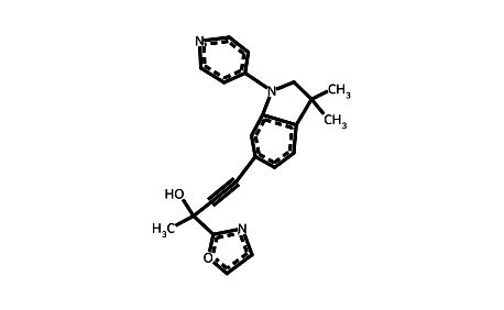 CC(O)(C#Cc1ccc2c(c1)N(c1ccncc1)CC2(C)C)c1ncco1